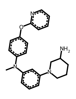 CN(c1ccc(Oc2ccccn2)cc1)c1cccc(N2CCCC(N)C2)c1